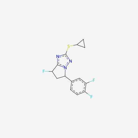 Fc1ccc(C2CC(F)c3nc(SC4CC4)nn32)cc1F